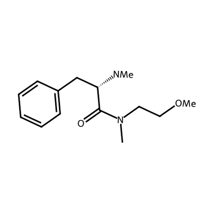 CN[C@@H](Cc1ccccc1)C(=O)N(C)CCOC